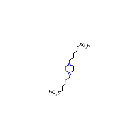 O=S(=O)(O)CCCCCN1CCN(CCCCCS(=O)(=O)O)CC1